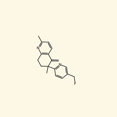 C=C1c2ccc(C)nc2CCC1(C)c1ccc(CF)cn1